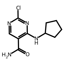 NC(=O)c1cnc(Cl)nc1NC1CCCC1